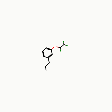 CCOC(=O)CCc1cccc(OC(F)C(F)F)c1